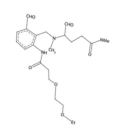 CCOCCOCCC(=O)Nc1cccc(C=O)c1CN(C)C(C=O)CCC(=O)NC